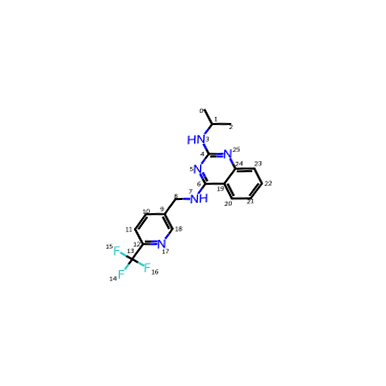 CC(C)Nc1nc(NCc2ccc(C(F)(F)F)nc2)c2ccccc2n1